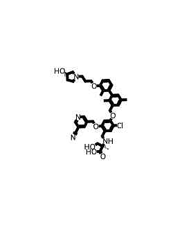 Cc1cc(COc2cc(OCc3cncc(C#N)c3)c(CN[C@](C)(CO)C(=O)O)cc2Cl)c(C)c(-c2cccc(OCCCN3CC[C@@H](O)C3)c2C)c1